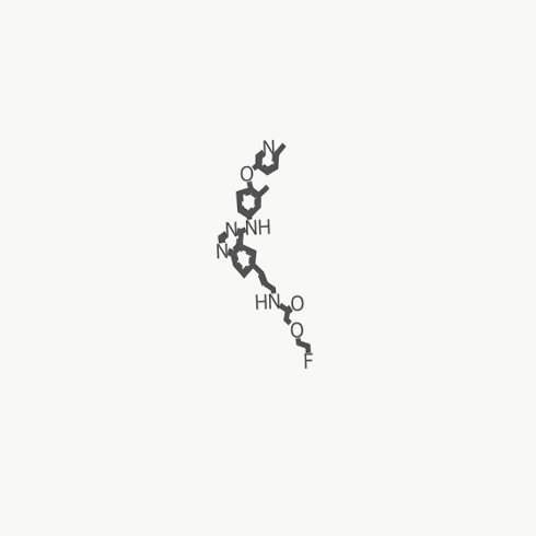 Cc1ccc(Oc2ccc(Nc3ncnc4ccc(C=CCNC(=O)COCCF)cc34)cc2C)cn1